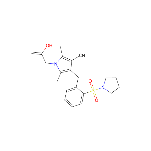 C=C(O)Cn1c(C)c(C#N)c(Cc2ccccc2S(=O)(=O)N2CCCC2)c1C